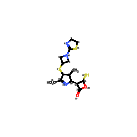 CC1C(SC2CN(C3=NCCS3)C2)C(C(=O)O)=NC1[C@@H]1C(=O)O[C@@H]1S